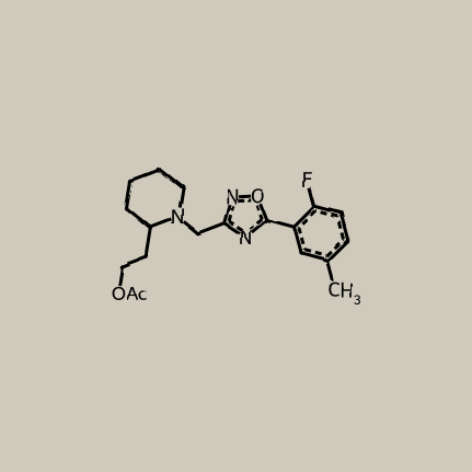 CC(=O)OCCC1CCCCN1Cc1noc(-c2cc(C)ccc2F)n1